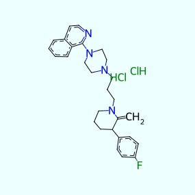 C=C1C(c2ccc(F)cc2)CCCN1CCCN1CCN(c2nccc3ccccc23)CC1.Cl.Cl